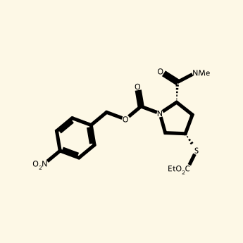 CCOC(=O)S[C@H]1C[C@@H](C(=O)NC)N(C(=O)OCc2ccc([N+](=O)[O-])cc2)C1